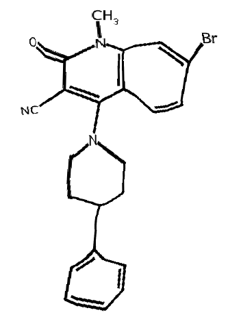 Cn1c(=O)c(C#N)c(N2CCC(c3ccccc3)CC2)c2ccc(Br)cc21